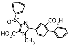 Cn1c(-c2ccc(-c3ccccc3)c(C(=O)O)c2)nc([S+]([O-])c2ccccc2)c1C(=O)O